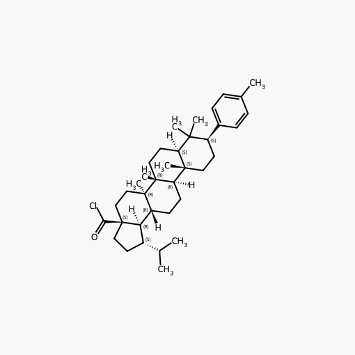 Cc1ccc([C@H]2CC[C@]3(C)[C@H]4CC[C@@H]5[C@H]6[C@H](C(C)C)CC[C@]6(C(=O)Cl)CC[C@@]5(C)[C@]4(C)CC[C@H]3C2(C)C)cc1